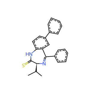 CC(C)[C@@H]1N=C(c2ccccc2)c2cc(-c3ccccc3)ccc2NC1=S